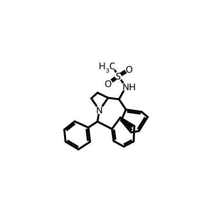 CS(=O)(=O)NC(c1ccccc1)C1CCN1C(c1ccccc1)c1ccccc1